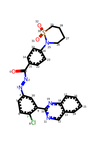 O=C(N=Nc1ccc(Cl)c(-c2ncc3ccccc3n2)c1)c1ccc(N2CCCCS2(=O)=O)cc1